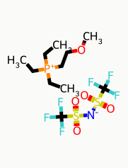 CC[P+](CC)(CC)CCOC.O=S(=O)([N-]S(=O)(=O)C(F)(F)F)C(F)(F)F